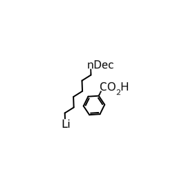 O=C(O)c1ccccc1.[Li][CH2]CCCCCCCCCCCCCCC